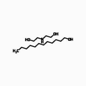 CCCCCCCCCCCCO.OCCNCCO